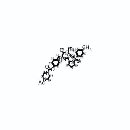 CC(=O)N1CCN(C(=O)Oc2ccc(C[C@H](NC(=O)[C@@H]3CCCN3S(=O)(=O)c3ccc(C)cc3)C(=O)OC(C)(C)C)cc2)CC1